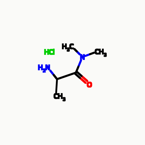 CC(N)C(=O)N(C)C.Cl